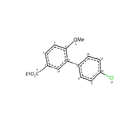 CCOC(=O)c1ccc(OC)c(-c2ccc(Cl)cc2)c1